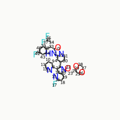 O=C(Nc1cc(-c2c(-c3ccccn3)c3nc(F)ccc3n2OC[C@H]2COCCO2)ccn1)[C@@H](CC(F)F)c1ccc(F)cc1